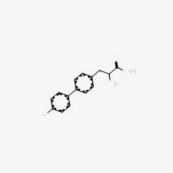 O=C(O)C(O)Cc1ccc(-c2ccc(F)cc2)cc1